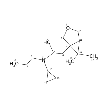 CCCN(C(O)CC12COCC1C2(C)C)C1CC1